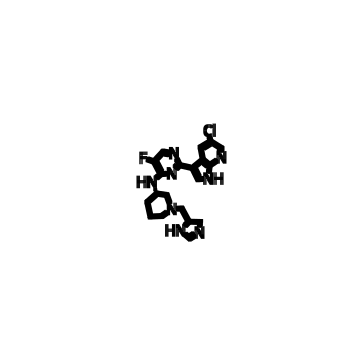 Fc1cnc(-c2c[nH]c3ncc(Cl)cc23)nc1N[C@H]1CCCN(CC2CN=CN2)C1